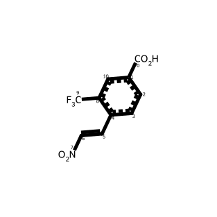 O=C(O)c1ccc(C=C[N+](=O)[O-])c(C(F)(F)F)c1